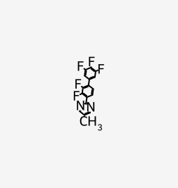 Cc1cnc(-c2ccc(-c3cc(F)c(F)c(F)c3)c(F)c2F)nc1